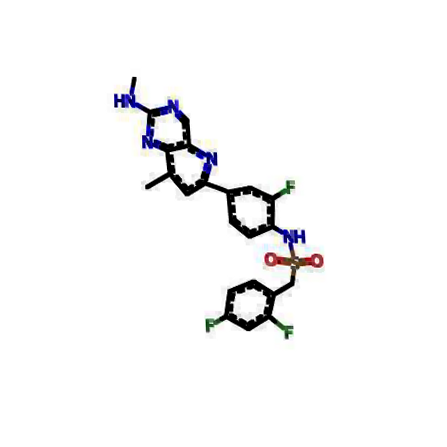 CNc1ncc2nc(-c3ccc(NS(=O)(=O)Cc4ccc(F)cc4F)c(F)c3)cc(C)c2n1